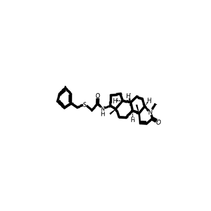 CN1C(=O)C=C[C@]2(C)[C@H]3CC[C@]4(C)C(NC(=O)CSCc5ccccc5)CC[C@H]4[C@@H]3CC[C@@H]12